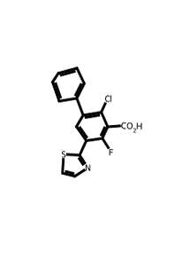 O=C(O)c1c(F)c(-c2nccs2)cc(-c2ccccc2)c1Cl